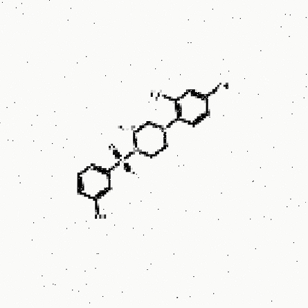 C[C@@H]1CN(c2ccc(C#N)cc2C(F)(F)F)CCN1S(=O)(=O)c1cccc(O)c1